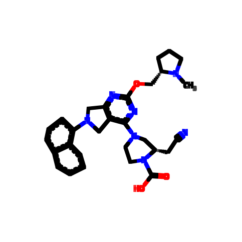 CN1CCC[C@H]1COc1nc2c(c(N3CCN(C(=O)O)[C@@H](CC#N)C3)n1)CN(c1cccc3ccccc13)C2